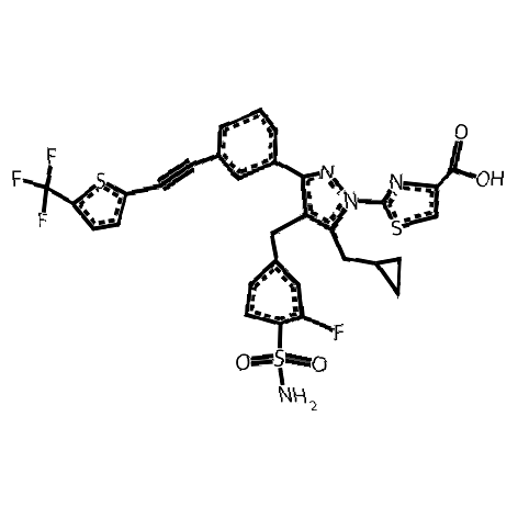 NS(=O)(=O)c1ccc(Cc2c(-c3cccc(C#Cc4ccc(C(F)(F)F)s4)c3)nn(-c3nc(C(=O)O)cs3)c2CC2CC2)cc1F